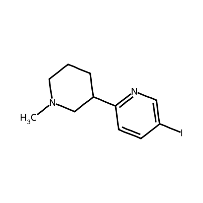 CN1CCCC(c2ccc(I)cn2)C1